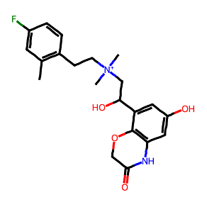 Cc1cc(F)ccc1CC[N+](C)(C)CC(O)c1cc(O)cc2c1OCC(=O)N2